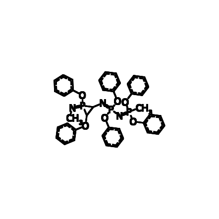 CN=P1(Oc2ccccc2)C(N=P(N=P(C)(Oc2ccccc2)Oc2ccccc2)(Oc2ccccc2)Oc2ccccc2)C1Oc1ccccc1